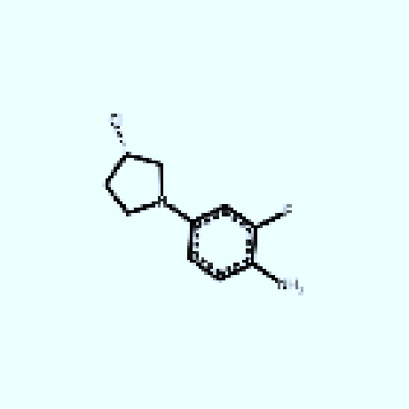 Nc1ccc(N2CC[C@H](Cl)C2)cc1F